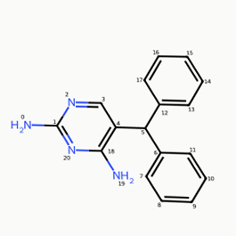 Nc1ncc(C(c2ccccc2)c2ccccc2)c(N)n1